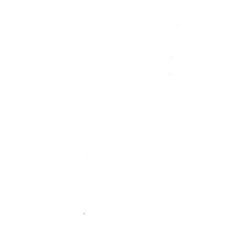 Cn1c(=O)n(C2CCC(=O)NC2=O)c2cccc(CCCOCCOCCn3cc(-c4cnc(N)c(C(N)=O)c4)cn3)c21